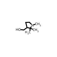 CN1CCC(CO)C1(C)C